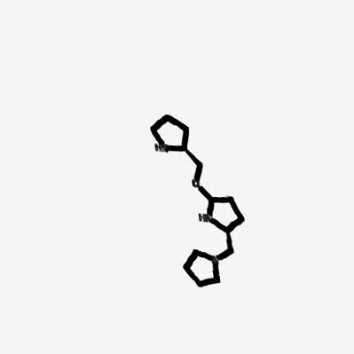 C1CN[C@H](COC2CC[C@@H](CN3CCCC3)N2)C1